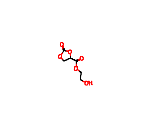 O=C1OCC(C(=O)OCCO)O1